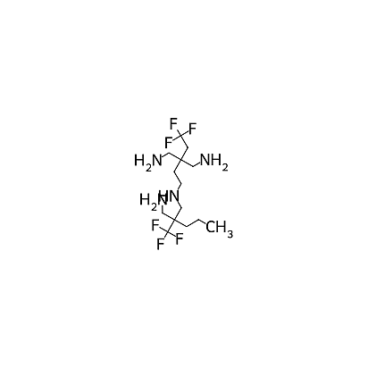 CCCC(CN)(CNCCC(CN)(CN)CC(F)(F)F)C(F)(F)F